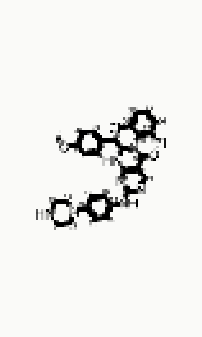 COc1ccc(CC2Nc3nc(Nc4ccc(N5CCNCC5)cc4)ncc3C(=O)N2c2c(Cl)cccc2Cl)cc1